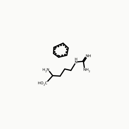 N=C(N)NCCCC(N)C(=O)O.c1ccccc1